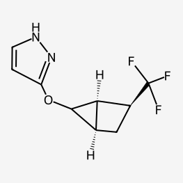 FC(F)(F)[C@H]1C[C@H]2C(Oc3cc[nH]n3)[C@H]21